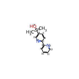 C[Si](C)(O)c1ccc(-c2ccccn2)nc1